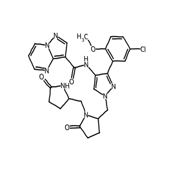 COc1ccc(Cl)cc1-c1nn(CC2CCC(=O)N2CC2CCC(=O)N2)cc1NC(=O)c1cnn2cccnc12